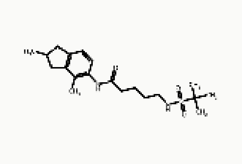 Cc1c(NC(=O)CCCCNS(=O)(=O)C(C)(C)C)ccc2c1CC(C)C2